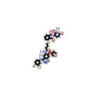 O=C1CCC(N2C(=O)c3cccc(SCCCC(=O)Nc4cc5c(Nc6ccc(F)c(Cl)c6)ncnc5cc4O[C@H]4CCOC4)c3C2=O)C(=O)N1